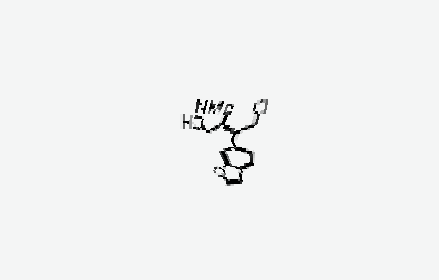 CNC(CO)C(CCl)c1ccc2ccoc2c1